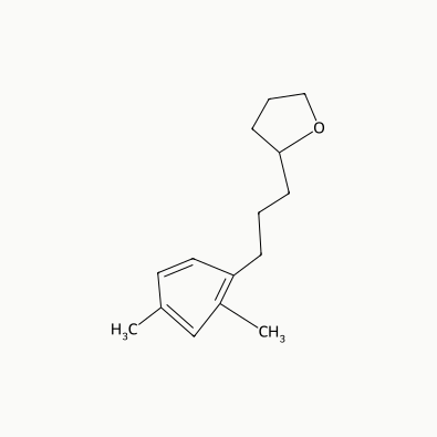 Cc1ccc(CCCC2CCCO2)c(C)c1